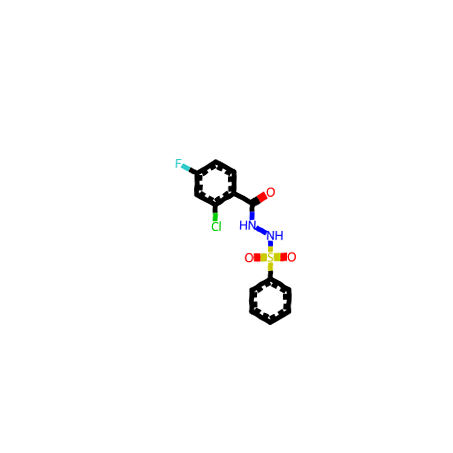 O=C(NNS(=O)(=O)c1ccccc1)c1ccc(F)cc1Cl